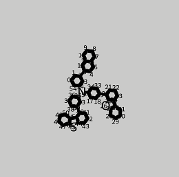 c1cc(-c2ccc3ccccc3c2)cc(N(c2ccc(-c3cccc4c3oc3ccccc34)cc2)c2cccc(-c3cccc4sc5ccccc5c34)c2)c1